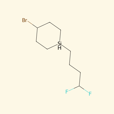 FC(F)CCC[SiH]1CCC(Br)CC1